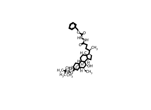 CC[C@H]1[C@@H](O)[C@@H]2[C@H](CC[C@]3(C)[C@@H]([C@H](C)CCC(=O)NNC(=O)OCc4ccccc4)CC[C@@H]23)[C@@]2(C)CCC(O[Si](C)(C)C(C)(C)C)C[C@@H]12